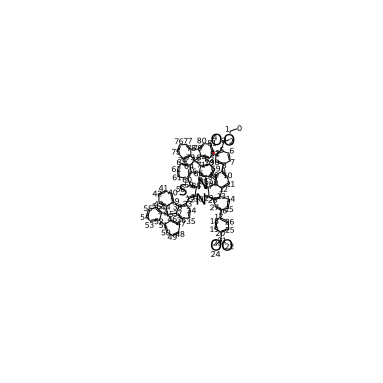 CCOC(=O)c1ccc(-c2ccc3c4ccc(-c5ccc(C(=O)OC)cc5)cc4c4nc5c(-c6cccc7c6-c6ccccc6C76c7ccccc7-c7ccccc76)sc(-c6cccc7c6-c6ccccc6C76c7ccccc7-c7ccccc76)c5nc4c3c2)cc1